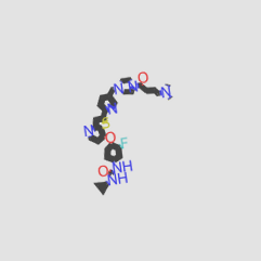 CN(C)CC=CC(=O)N1CCN(Cc2ccc(-c3cc4nccc(Oc5ccc(NC(=O)NC6CC6)cc5F)c4s3)nc2)CC1